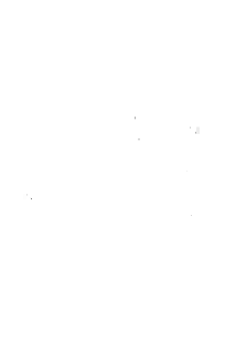 CNC(c1ccccc1)c1ccccc1.C[C@H](NC(=O)OC(C)(C)C)C(=O)O